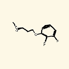 CSCCCOc1[c]ccc(F)c1F